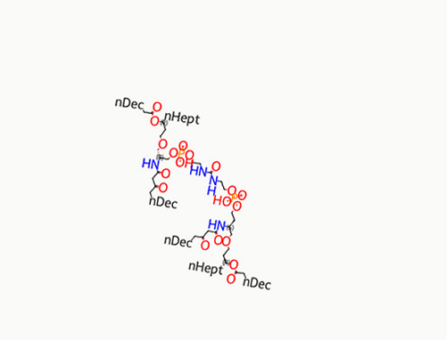 CCCCCCCCCCCC(=O)CC(=O)N[C@H](COCC[C@@H](CCCCCCC)OC(=O)CCCCCCCCCCC)COP(=O)(O)OCCNC(=O)NCCOP(=O)(O)OCC[C@@H](COCC[C@@H](CCCCCCC)OC(=O)CCCCCCCCCCC)NC(=O)CC(=O)CCCCCCCCCCC